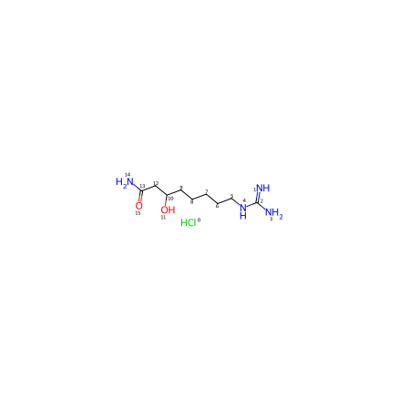 Cl.N=C(N)NCCCCCC(O)CC(N)=O